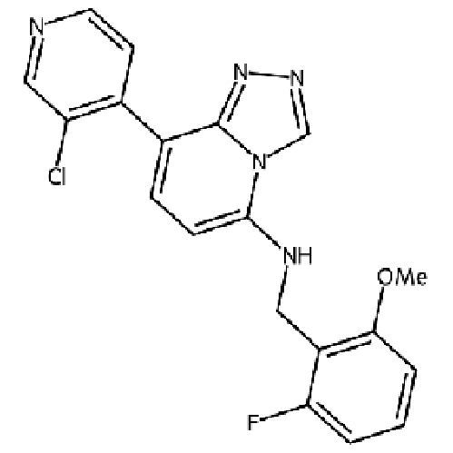 COc1cccc(F)c1CNc1ccc(-c2ccncc2Cl)c2nncn12